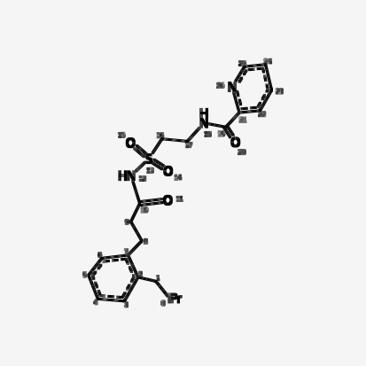 CC(C)Cc1ccccc1CCC(=O)NS(=O)(=O)CCNC(=O)c1ccccn1